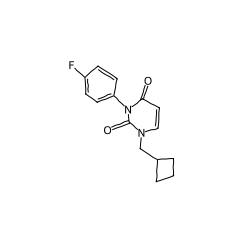 O=c1ccn(CC2CCC2)c(=O)n1-c1ccc(F)cc1